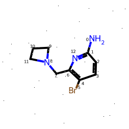 Nc1ccc(Br)c(CN2CCC2)n1